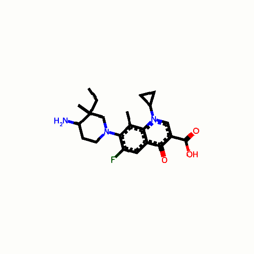 CCC1(C)CN(c2c(F)cc3c(=O)c(C(=O)O)cn(C4CC4)c3c2C)CCC1N